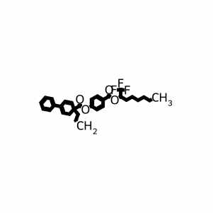 C=CCC1(C(=O)Oc2ccc(C(=O)OC(CCCCCC)C(F)(F)F)cc2)C=CC(c2ccccc2)=CC1